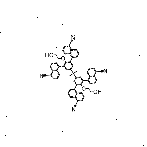 CC(C)(c1cc(-c2cccc3c(C#N)cccc23)c(OCCO)c(-c2cccc3c(C#N)cccc23)c1)c1cc(-c2cccc3c(C#N)cccc23)c(OCCO)c(-c2cccc3c(C#N)cccc23)c1